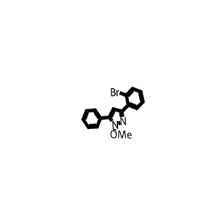 COn1nc(-c2ccccc2Br)cc1-c1ccccc1